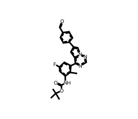 Cc1c(NC(=O)OC(C)(C)C)cc(F)cc1-c1ncnn2cc(-c3ccc(C=O)cc3)cc12